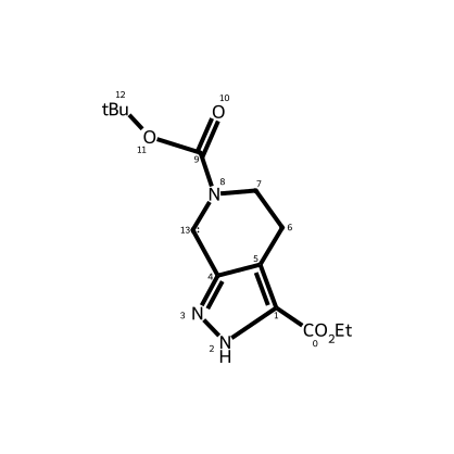 CCOC(=O)c1[nH]nc2c1CCN(C(=O)OC(C)(C)C)[C]2